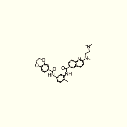 Cc1ccc(NC(=O)c2ccc3c(c2)OCCO3)cc1NC(=O)c1ccc2nc(N(C)CCN(C)C)ccc2c1